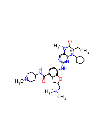 CC[C@@H]1C(=O)N(C)c2cnc(Nc3ccc(C(=O)NC4CCN(C)CC4)c4c3OC(CN(C)C)C4)nc2N1C1CCCC1